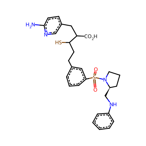 Nc1ccc(CC(C(=O)O)C(S)CCc2cccc(S(=O)(=O)N3CCC[C@H]3CNc3ccccc3)c2)cn1